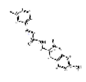 Cc1cccc(/C=C/C(=O)NC[C@H](Cc2ccc(O)cc2)N(C)C)c1